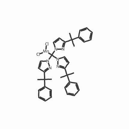 CC(C)(c1ccccc1)c1ccn([C](n2ccc(C(C)(C)c3ccccc3)n2)(n2ccc(C(C)(C)c3ccccc3)n2)[Mn]([Cl])[Cl])n1